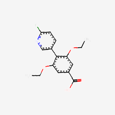 CCOc1cc(C(=O)O)cc(OCC)c1-c1ccc(F)nc1